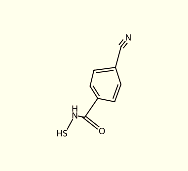 N#Cc1ccc(C(=O)NS)cc1